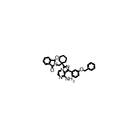 Nc1nccn2c(C3(CN4C(=O)c5ccccc5C4=O)CCCCC3)nc(-c3cccc(OCc4ccccc4)c3)c12